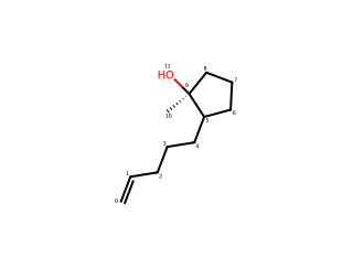 C=CCCCC1CCC[C@]1(C)O